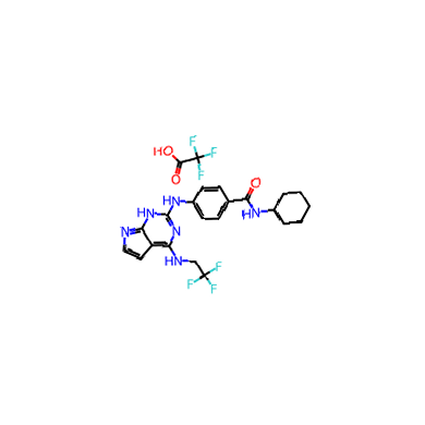 O=C(NC1CCCCC1)c1ccc(Nc2nc(NCC(F)(F)F)c3ccnc-3[nH]2)cc1.O=C(O)C(F)(F)F